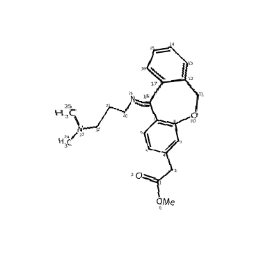 COC(=O)Cc1ccc2c(c1)OCc1ccccc1/C2=N/CCCN(C)C